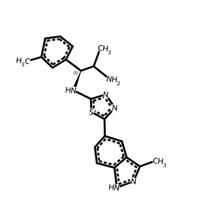 Cc1cccc([C@H](Nc2nnc(-c3ccc4[nH]nc(C)c4c3)s2)C(C)N)c1